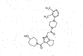 Cc1cccc(N2CCN(C(=O)Cn3nc(C(=O)N4CCCC(O)CC4)c4c3CCC4)CC2)c1C